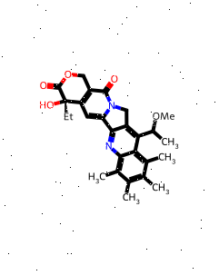 CC[C@@]1(O)C(=O)OCc2c1cc1n(c2=O)Cc2c-1nc1c(C)c(C)c(C)c(C)c1c2C(C)OC